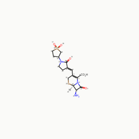 N[C@@H]1C(=O)N2C(C(=O)O)=C(/C=C3\CCN(C4CCS(=O)(=O)C4)C3=O)CS[C@H]12